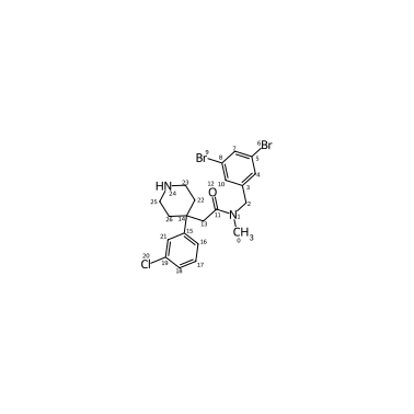 CN(Cc1cc(Br)cc(Br)c1)C(=O)CC1(c2cccc(Cl)c2)CCNCC1